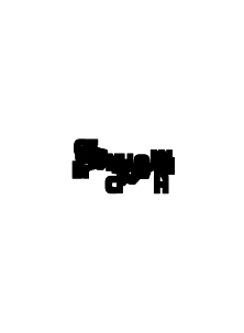 FC(F)(F)Oc1ccc(NCc2cc3oc(-c4nnn[nH]4)cc3cc2Cl)cc1Br